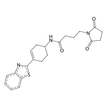 O=C(CCCN1C(=O)CCC1=O)NC1CC=C(c2nc3ccccc3s2)CC1